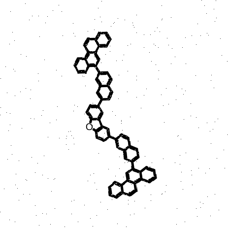 c1ccc2c(c1)ccc1c3ccccc3c(-c3ccc4ccc(-c5ccc6oc7ccc(-c8ccc9ccc(-c%10cc%11c%12ccccc%12ccc%11c%11ccccc%10%11)cc9c8)cc7c6c5)cc4c3)cc21